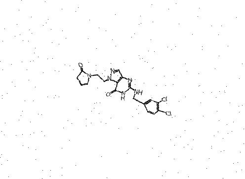 O=C1CCCN1CCn1ncc2nc(NCc3ccc(Cl)c(Cl)c3)[nH]c(=O)c21